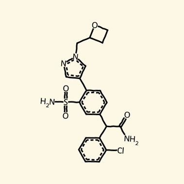 NC(=O)C(c1ccc(-c2cnn(CC3CCO3)c2)c(S(N)(=O)=O)c1)c1ccccc1Cl